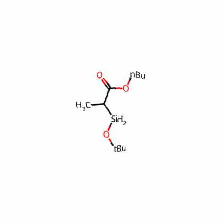 CCCCOC(=O)C(C)[SiH2]OC(C)(C)C